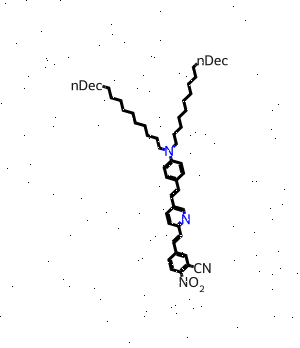 CCCCCCCCCCCCCCCCCCCCN(CCCCCCCCCCCCCCCCCCCC)c1ccc(C=Cc2ccc(C=Cc3ccc([N+](=O)[O-])c(C#N)c3)nc2)cc1